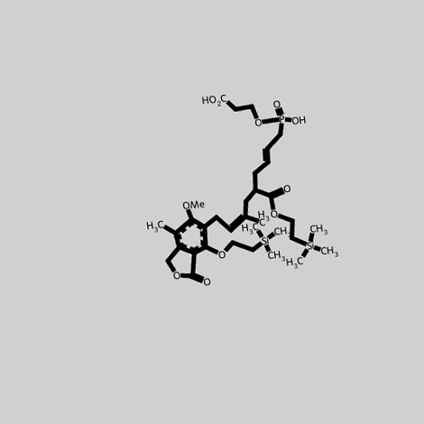 COc1c(C)c2c(c(OCC[Si](C)(C)C)c1CC=C(C)CC(CC=CCP(=O)(O)OCCC(=O)O)C(=O)OCC[Si](C)(C)C)C(=O)OC2